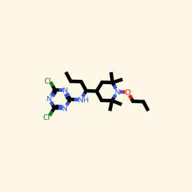 CCCON1C(C)(C)CC(C(CCC)Nc2nc(Cl)nc(Cl)n2)CC1(C)C